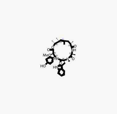 CO[C@H]1C(=O)O[C@H](C)[C@H](C)/C=C(\C)C[C@H](C)C(=O)N[C@@H](C)C(=O)N(C)[C@H](Cc2c[nH]c3ccccc23)C(=O)N[C@H]1c1ccc(O)cc1